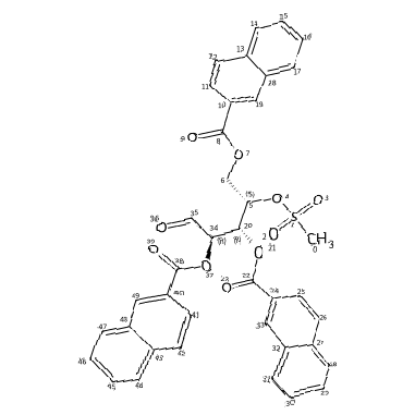 CS(=O)(=O)O[C@@H](COC(=O)c1ccc2ccccc2c1)[C@H](OC(=O)c1ccc2ccccc2c1)[C@H](C=O)OC(=O)c1ccc2ccccc2c1